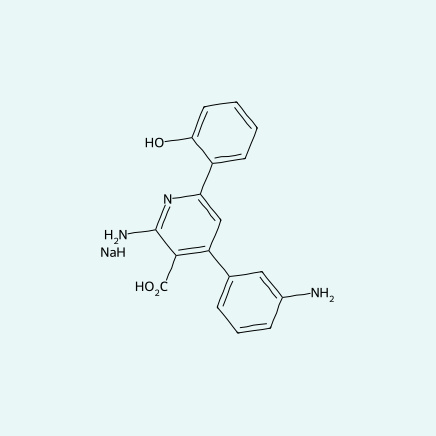 Nc1cccc(-c2cc(-c3ccccc3O)nc(N)c2C(=O)O)c1.[NaH]